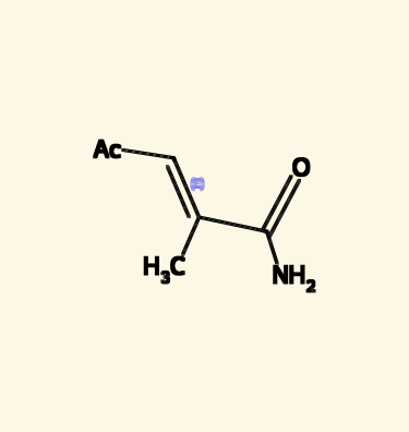 CC(=O)/C=C(\C)C(N)=O